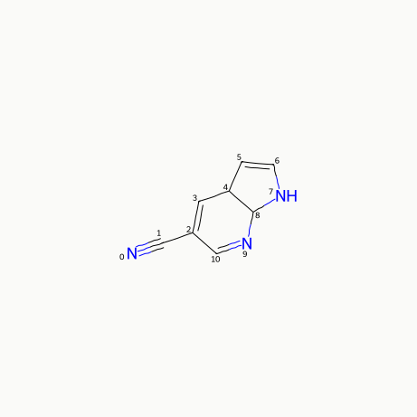 N#CC1=CC2C=CNC2N=C1